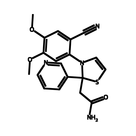 COc1cc(C#N)c(N2C=CSC2(CC(N)=O)c2cccnc2)cc1OC